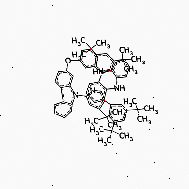 CC(C)(C)c1cc(-c2cccc(-c3cc(C(C)(C)C)cc(C(C)(C)C)c3)c2Nc2ccccc2Nc2cccc(Oc3ccc4c5ccccc5n(-c5cc(C(C)(C)C)ccn5)c4c3)c2)cc(C(C)(C)C)c1